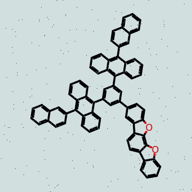 c1ccc2cc(-c3c4ccccc4c(-c4cc(-c5ccc6oc7c(ccc8c9ccccc9oc87)c6c5)cc(-c5c6ccccc6c(-c6ccc7ccccc7c6)c6ccccc56)c4)c4ccccc34)ccc2c1